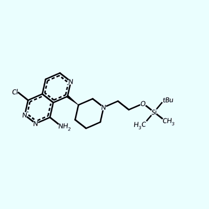 CC(C)(C)[Si](C)(C)OCCN1CCC[C@@H](c2nccc3c(Cl)nnc(N)c23)C1